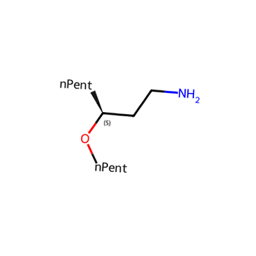 CCCCCO[C@H](CCN)CCCCC